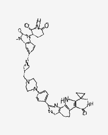 Cn1c(=O)n(C2CCC(=O)NC2=O)c2ccc(N3CC(CN4CCN(c5ccc(-c6ncc7c(n6)-c6[nH]c8c(c6CC7)C(=O)NCC86CC6)cc5)CC4)C3)cc21